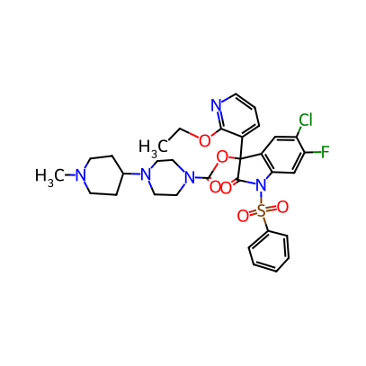 CCOc1ncccc1C1(OC(=O)N2CCN(C3CCN(C)CC3)CC2)C(=O)N(S(=O)(=O)c2ccccc2)c2cc(F)c(Cl)cc21